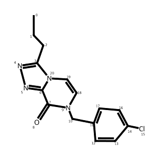 CCCc1nnc2c(=O)n(Cc3ccc(Cl)cc3)ccn12